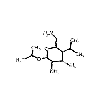 CC(C)O[C@H]1OC(CN)[C@@H](C(C)C)[C@H](N)C1N